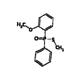 COc1ccccc1[P@@](=O)(SC)c1ccccc1